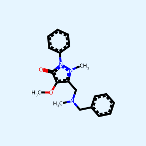 COc1c(CN(C)Cc2ccccc2)n(C)n(-c2ccccc2)c1=O